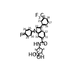 O=C(NC1CCS(O)(O)C1)c1ccc2c(-c3cccc(C(F)(F)F)c3)cn(-c3ccc(F)cc3)c2c1